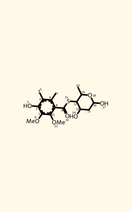 COc1c(O)c(I)c(C)c(C(=O)SC2C(O)CC(O)OC2C)c1OC